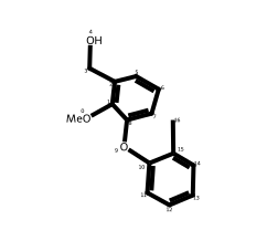 COc1c(CO)cccc1Oc1ccccc1C